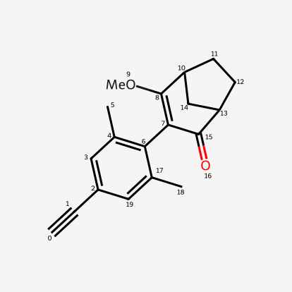 C#Cc1cc(C)c(C2=C(OC)C3CCC(C3)C2=O)c(C)c1